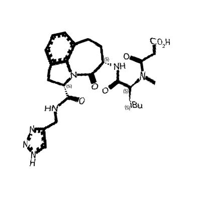 CC[C@H](C)[C@@H](C(=O)N[C@H]1CCc2cccc3c2N(C1=O)[C@H](C(=O)NCc1c[nH]nn1)C3)N(C)C(=O)CC(=O)O